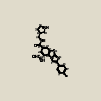 Cc1ccc(-c2cn3c(n2)sc2cc(C(=O)NC[C@H]4CCNC4)ccc23)cc1.O=CO